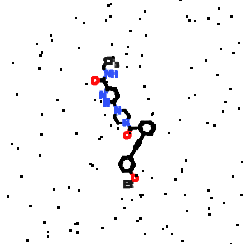 CCOc1cccc(C#Cc2ccccc2C(=O)N2CCN(c3ccc(C(=O)NCC(F)(F)F)nn3)CC2)c1